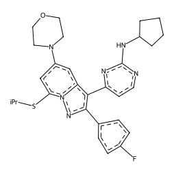 CC(C)Sc1cc(N2CCOCC2)cc2c(-c3ccnc(NC4CCCC4)n3)c(-c3ccc(F)cc3)nn12